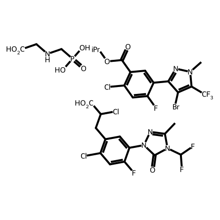 CC(C)OC(=O)c1cc(-c2nn(C)c(C(F)(F)F)c2Br)c(F)cc1Cl.Cc1nn(-c2cc(CC(Cl)C(=O)O)c(Cl)cc2F)c(=O)n1C(F)F.O=C(O)CNCP(=O)(O)O